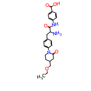 CCOCC1CCN(c2ccc(CC(N)C(=O)Nc3ccc(C(=O)O)cc3)cc2)C(=O)C1